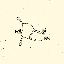 O=C1Cc2n[nH]cc2C(=O)N1